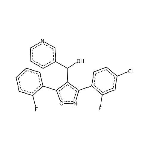 OC(c1cccnc1)c1c(-c2ccc(Cl)cc2F)noc1-c1ccccc1F